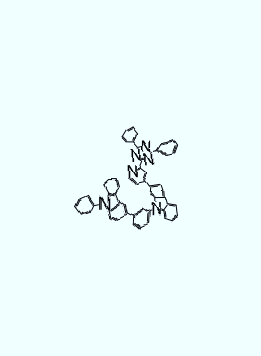 C1=Cc2c(n(-c3ccccc3)c3ccc(-c4cccc(-n5c6ccccc6c6ccc(-c7ccnc(-c8nc(-c9ccccc9)nc(-c9ccccc9)n8)c7)cc65)c4)cc23)CC1